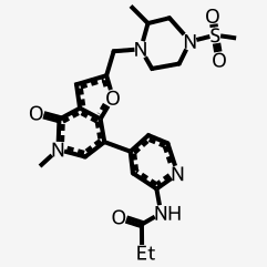 CCC(=O)Nc1cc(-c2cn(C)c(=O)c3cc(CN4CCN(S(C)(=O)=O)CC4C)oc23)ccn1